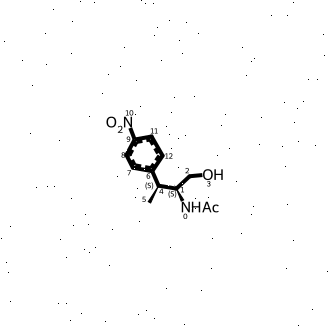 CC(=O)N[C@H](CO)[C@@H](C)c1ccc([N+](=O)[O-])cc1